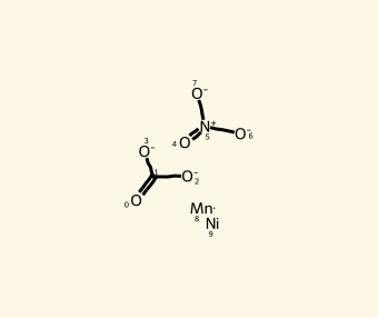 O=C([O-])[O-].O=[N+]([O-])[O-].[Mn].[Ni]